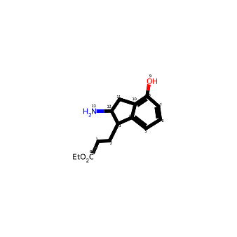 CCOC(=O)CCC1c2cccc(O)c2CC1N